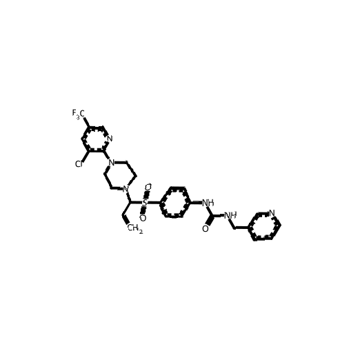 C=CC(N1CCN(c2ncc(C(F)(F)F)cc2Cl)CC1)S(=O)(=O)c1ccc(NC(=O)NCc2cccnc2)cc1